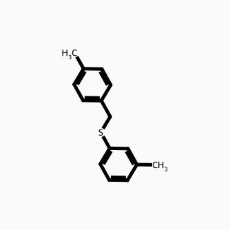 Cc1ccc(CSc2cccc(C)c2)cc1